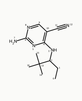 CCC(Nc1nc(N)ncc1C#N)C(C)(C)C